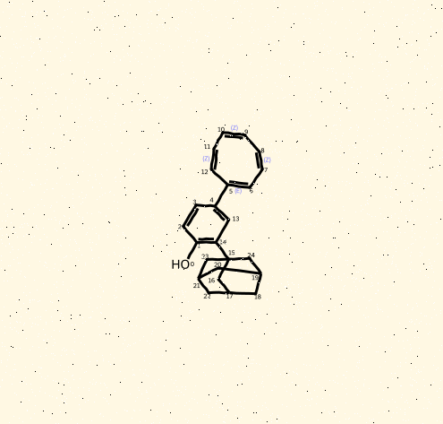 Oc1ccc(C2=C/C=C\C=C/C=C\2)cc1C12CC3CC(CC(C3)C1)C2